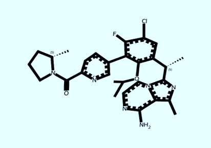 Cc1nc([C@@H](C)c2cc(Cl)c(F)c(-c3ccc(C(=O)N4CCC[C@@H]4C)nc3)c2OC(C)C)n2ccnc(N)c12